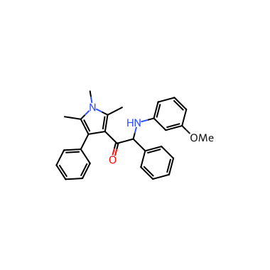 COc1cccc(NC(C(=O)c2c(-c3ccccc3)c(C)n(C)c2C)c2ccccc2)c1